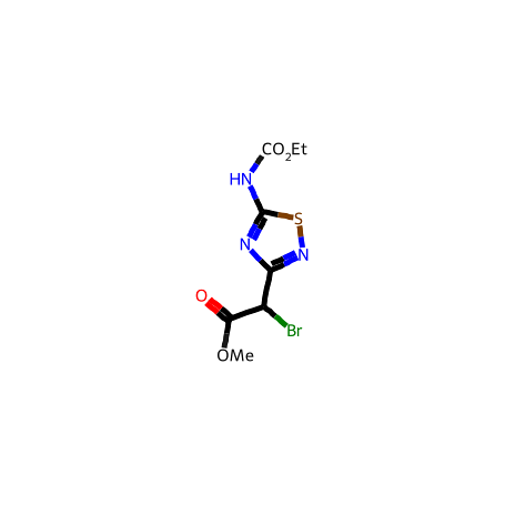 CCOC(=O)Nc1nc(C(Br)C(=O)OC)ns1